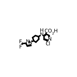 O=C(O)c1cnc(Cl)cc1NC1CCC(n2ccc(C(F)F)n2)CC1